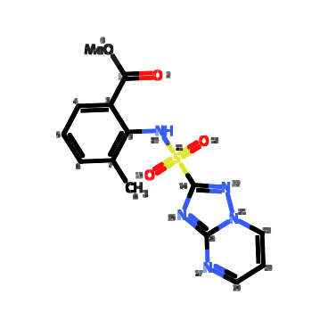 COC(=O)c1cccc(C)c1NS(=O)(=O)c1nc2ncccn2n1